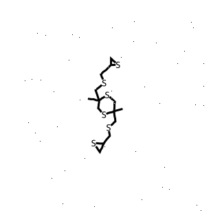 CC1(CSCC2CS2)CSC(C)(CSCC2CS2)CS1